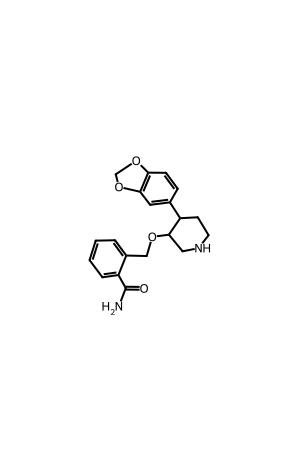 NC(=O)c1ccccc1COC1CNCCC1c1ccc2c(c1)OCO2